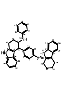 CC(C)(C)c1ccc(C2c3c([nH]c4ccccc34)CCC2Nc2ccccc2)cc1.c1ccc2c3c([nH]c2c1)CCCC3